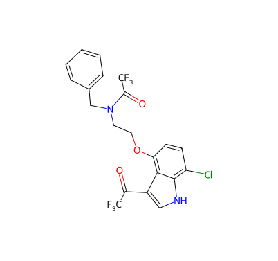 O=C(c1c[nH]c2c(Cl)ccc(OCCN(Cc3ccccc3)C(=O)C(F)(F)F)c12)C(F)(F)F